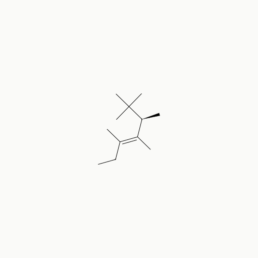 CC/C(C)=C(\C)[C@H](C)C(C)(C)C